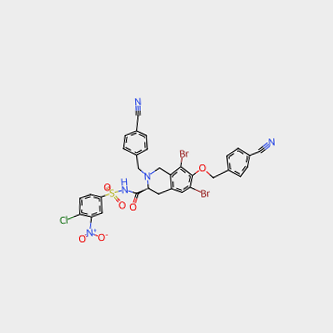 N#Cc1ccc(COc2c(Br)cc3c(c2Br)CN(Cc2ccc(C#N)cc2)[C@H](C(=O)NS(=O)(=O)c2ccc(Cl)c([N+](=O)[O-])c2)C3)cc1